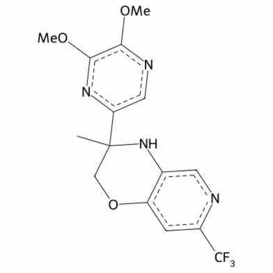 COc1ncc(C2(C)COc3cc(C(F)(F)F)ncc3N2)nc1OC